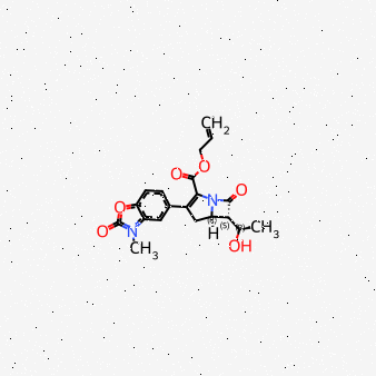 C=CCOC(=O)C1=C(c2ccc3oc(=O)n(C)c3c2)C[C@@H]2[C@@H]([C@@H](C)O)C(=O)N12